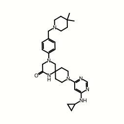 CC1(C)CCN(Cc2ccc(N3CC(=O)NC4(CCN(c5cc(NC6CC6)ncn5)CC4)C3)cc2)CC1